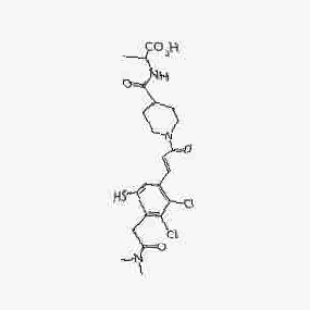 CC(NC(=O)C1CCN(C(=O)C=Cc2cc(S)c(CC(=O)N(C)C)c(Cl)c2Cl)CC1)C(=O)O